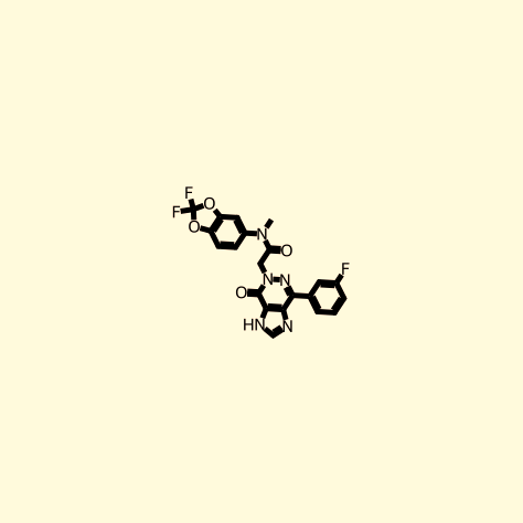 CN(C(=O)Cn1nc(-c2cccc(F)c2)c2nc[nH]c2c1=O)c1ccc2c(c1)OC(F)(F)O2